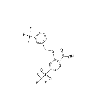 O=C(O)c1ccc(S(=O)(=O)C(F)(F)F)cc1SCc1cccc(C(F)(F)F)c1